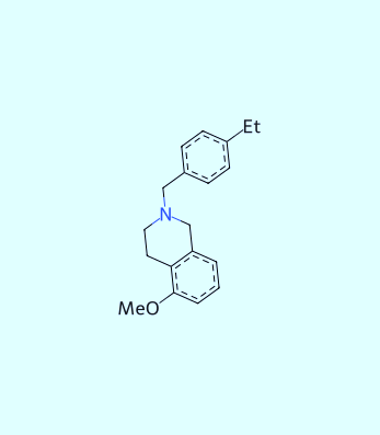 CCc1ccc(CN2CCc3c(cccc3OC)C2)cc1